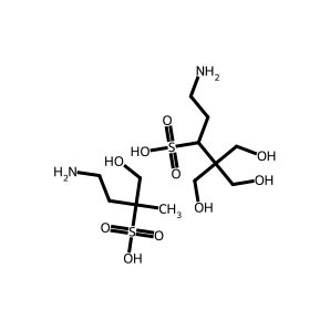 CC(CO)(CCN)S(=O)(=O)O.NCCC(C(CO)(CO)CO)S(=O)(=O)O